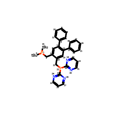 CC(C)(C)P(Cc1cc(-c2ccccc2)c(-c2ccccc2)cc1CP(c1ncccn1)c1ncccn1)C(C)(C)C